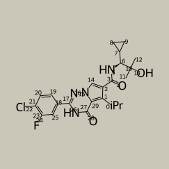 CC(C)c1c(C(=O)N[C@@H](C2CC2)C(C)(C)O)cn2nc(-c3ccc(Cl)c(F)c3)[nH]c(=O)c12